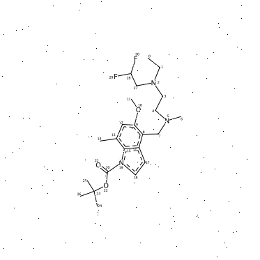 CCN(CCN(C)Cc1c(OC)cc(C)c2c1ccn2C(=O)OC(C)(C)C)CC(F)F